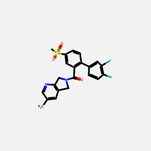 CS(=O)(=O)c1ccc(-c2ccc(F)c(F)c2)c(C(=O)N2Cc3cc(C(F)(F)F)cnc3C2)c1